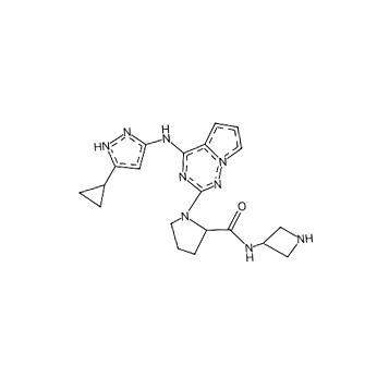 O=C(NC1CNC1)C1CCCN1c1nc(Nc2cc(C3CC3)[nH]n2)c2cccn2n1